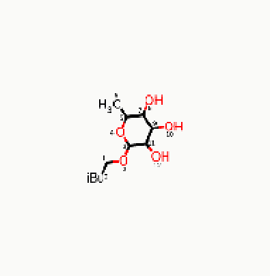 CCC(C)COC1OC(C)C(O)C(O)C1O